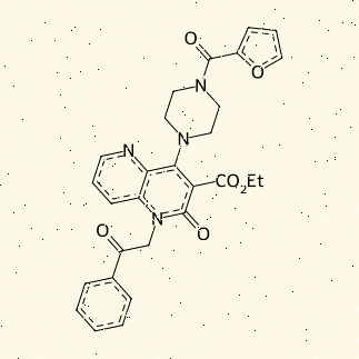 CCOC(=O)c1c(N2CCN(C(=O)c3ccco3)CC2)c2ncccc2n(CC(=O)c2ccccc2)c1=O